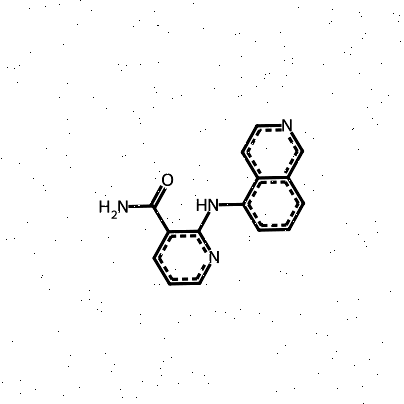 NC(=O)c1cccnc1Nc1cccc2cnccc12